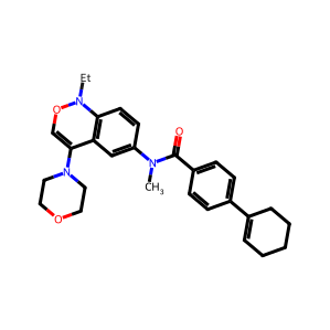 CCN1OC=C(N2CCOCC2)c2cc(N(C)C(=O)c3ccc(C4=CCCCC4)cc3)ccc21